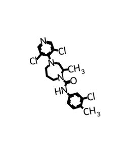 Cc1ccc(NC(=O)N2CCCN(c3c(Cl)cncc3Cl)CC2C)cc1Cl